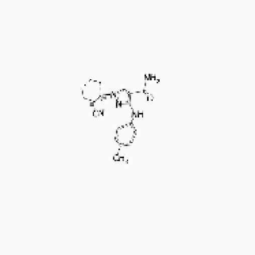 Cc1ccc(Nc2nn([C@@H]3CCCC[C@H]3C#N)cc2C(N)=O)cc1